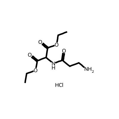 CCOC(=O)C(NC(=O)CCN)C(=O)OCC.Cl